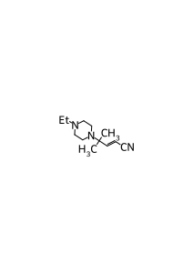 CCN1CCN(C(C)(C)C=CC#N)CC1